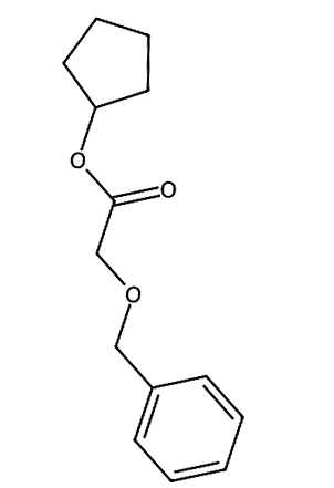 O=C(COCc1ccccc1)OC1CCCC1